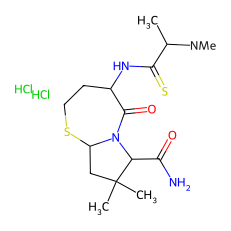 CNC(C)C(=S)NC1CCSC2CC(C)(C)C(C(N)=O)N2C1=O.Cl.Cl